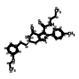 Cc1ccc(-n2nc3c(c2C(=O)NCCC(F)(F)F)C(=O)N[C@@H](CCc2cccc(OCC(F)(F)F)c2)C3)nc1